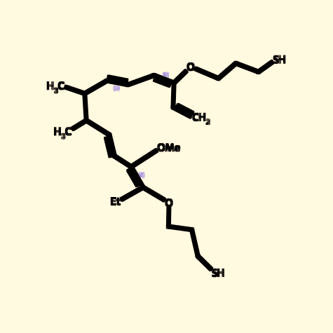 C=C/C(=C\C=C\C(C)C(C)C=C/C(OC)=C(\CC)OCCCS)OCCCS